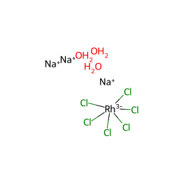 O.O.O.[Cl][Rh-3]([Cl])([Cl])([Cl])([Cl])[Cl].[Na+].[Na+].[Na+]